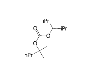 CCCC(C)(C)OC(=O)OC(C(C)C)C(C)C